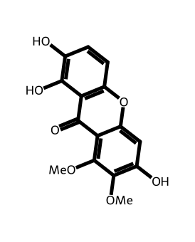 COc1c(O)cc2oc3ccc(O)c(O)c3c(=O)c2c1OC